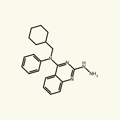 NNc1nc(N(CC2CCCCC2)c2ccccc2)c2ccccc2n1